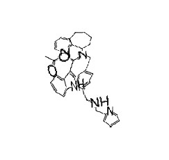 CC(=O)OC(c1c[nH]c2ccccc12)N(Cc1ccc(CNCc2ccccn2)cc1)C1CCCCc2cccnc21